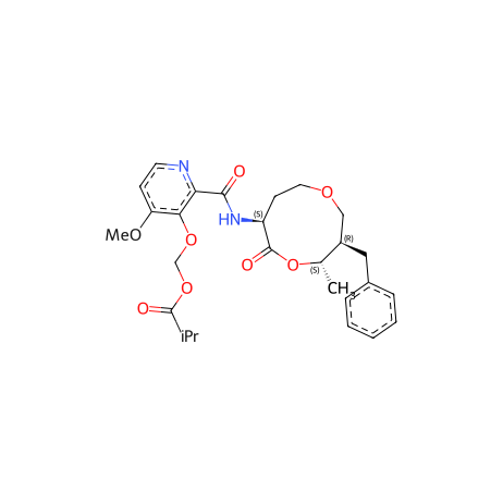 COc1ccnc(C(=O)N[C@H]2CCOC[C@@H](Cc3ccccc3)[C@H](C)OC2=O)c1OCOC(=O)C(C)C